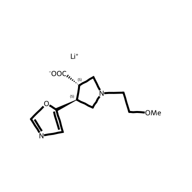 COCCN1C[C@@H](C(=O)[O-])[C@H](c2cnco2)C1.[Li+]